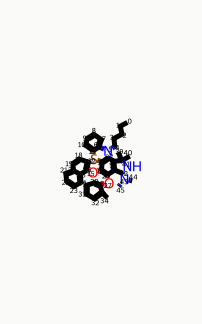 CCCCCN1c2ccccc2Sc2c(Oc3cccc4ccccc34)c(Oc3ccccc3C)c3c(c21)C(C)(C)NC3N(C)C